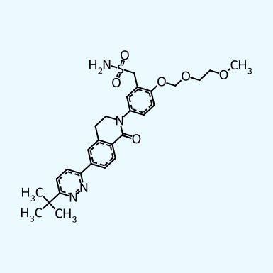 COCCOCOc1ccc(N2CCc3cc(-c4ccc(C(C)(C)C)nn4)ccc3C2=O)cc1CS(N)(=O)=O